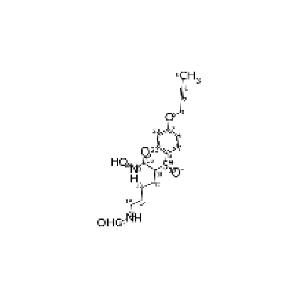 CC#CCOc1ccc([S+]([O-])C(CCCCNC=O)C(=O)NO)cc1